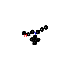 c1ccc(-c2ccc(-c3ccc(N(c4ccc(C5(c6ccccc6)c6ccccc6-c6ccccc65)cc4)c4cccc(-c5ccc6oc7ccccc7c6c5)c4)cc3)cc2)cc1